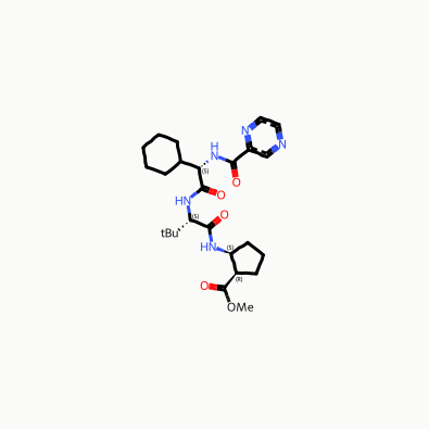 COC(=O)[C@@H]1CCC[C@@H]1NC(=O)[C@@H](NC(=O)[C@@H](NC(=O)c1cnccn1)C1CCCCC1)C(C)(C)C